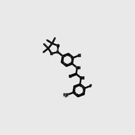 CC1(C)OB(c2ccc(NC(=O)Nc3cc(C(F)(F)F)ccc3F)c(Cl)c2)OC1(C)C